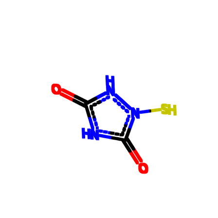 O=c1[nH]c(=O)n(S)[nH]1